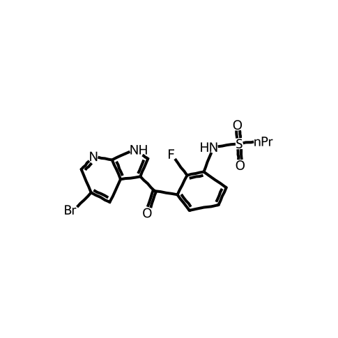 CCCS(=O)(=O)Nc1cccc(C(=O)c2c[nH]c3ncc(Br)cc23)c1F